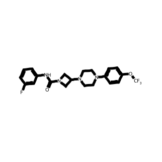 O=C(Nc1cccc(F)c1)N1CC(N2CCN(c3ccc(OC(F)(F)F)cc3)CC2)C1